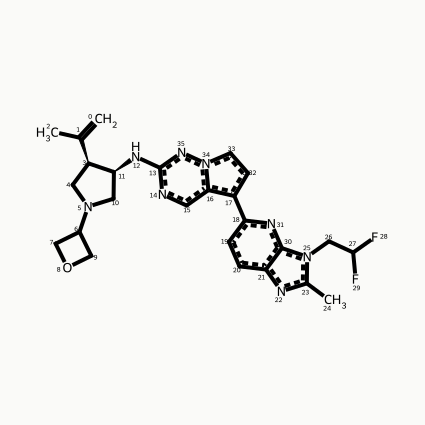 C=C(C)[C@@H]1CN(C2COC2)C[C@@H]1Nc1ncc2c(-c3ccc4nc(C)n(CC(F)F)c4n3)ccn2n1